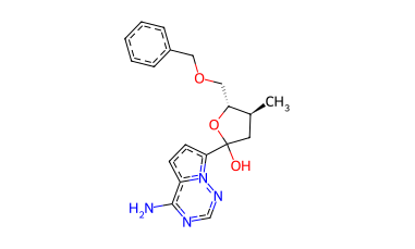 C[C@H]1CC(O)(c2ccc3c(N)ncnn23)O[C@@H]1COCc1ccccc1